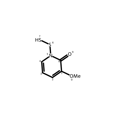 COc1cccn(SS)c1=O